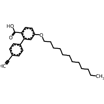 C#Cc1ccc(-c2cc(OCCCCCCCCCCCC)ccc2C(=O)O)cc1